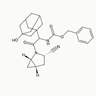 N#C[C@@H]1C[C@@H]2C[C@@H]2N1C(=O)C(NC(=O)OCc1ccccc1)C12CC3CC(CC(O)(C3)C1)C2